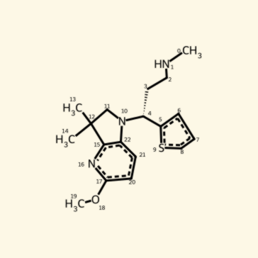 CNCC[C@H](c1cccs1)N1CC(C)(C)c2nc(OC)ccc21